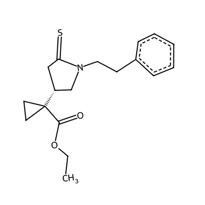 CCOC(=O)C1([C@@H]2CC(=S)N(CCc3ccccc3)C2)CC1